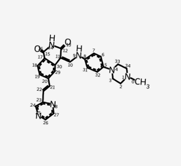 CN1CCN(c2ccc(NC=C3C(=O)NC(=O)c4ccc(C=Cc5cnccn5)cc43)cc2)CC1